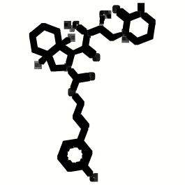 CN(C(=O)[C@@H]1[C@H]2CCCC[C@H]2CN1C(=O)OC/C=C/c1cccc(Cl)c1)[C@H](C#N)C[Si@@H]1CCCNC1=O